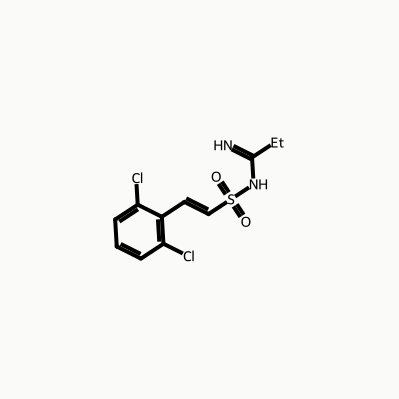 CCC(=N)NS(=O)(=O)C=Cc1c(Cl)cccc1Cl